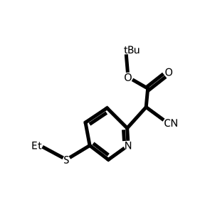 CCSc1ccc(C(C#N)C(=O)OC(C)(C)C)nc1